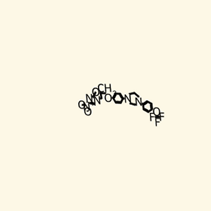 CC1(COc2ccc(N3CCCN(c4ccc(OC(F)(F)F)cc4)CC3)cc2)Cn2cc([N+](=O)[O-])nc2O1